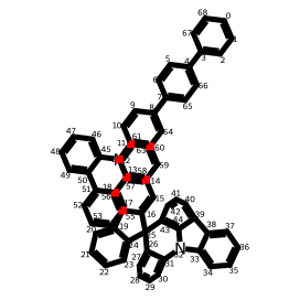 c1ccc(-c2ccc(-c3ccc(N(c4ccc5c(c4)-c4ccccc4C54c5ccccc5-n5c6ccccc6c6cccc4c65)c4ccccc4-c4ccccc4-c4ccccc4)cc3)cc2)cc1